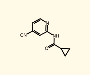 O=Nc1ccnc(NC(=O)C2CC2)c1